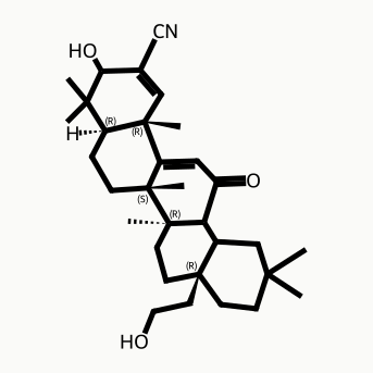 CC1(C)CC[C@]2(CCO)CC[C@]3(C)C(C(=O)C=C4[C@@]5(C)C=C(C#N)C(O)C(C)(C)[C@@H]5CC[C@]43C)C2C1